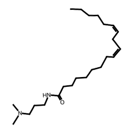 CCCCC/C=C\C/C=C\CCCCCCCC(=O)NCCCN(C)C